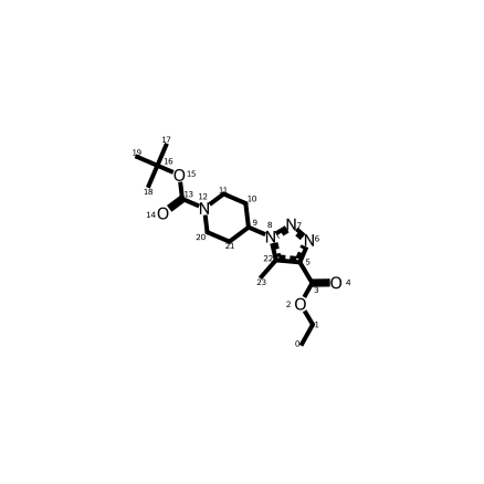 CCOC(=O)c1nnn(C2CCN(C(=O)OC(C)(C)C)CC2)c1C